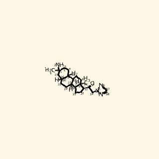 C[C@@]1(N)CC[C@@H]2C3CC[C@]4(C)[C@@H](C(=O)Cn5nccn5)CC[C@H]4[C@@H]3CC[C@@H]2C1